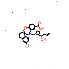 C=CC[C@@H](O)[C@]1(C)CC[C@@H]1CN1CC2(CCCc3cc(Cl)ccc32)COc2ccc(C(=O)O)cc21